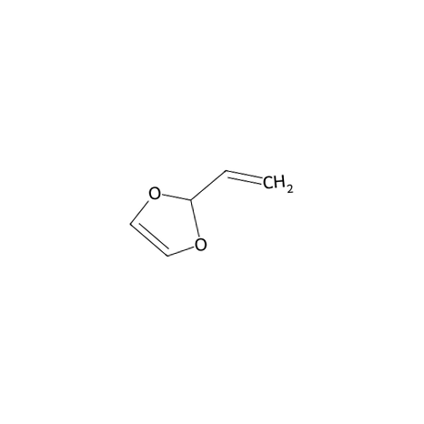 C=CC1OC=CO1